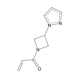 C=CC(=O)N1CC(n2cccn2)C1